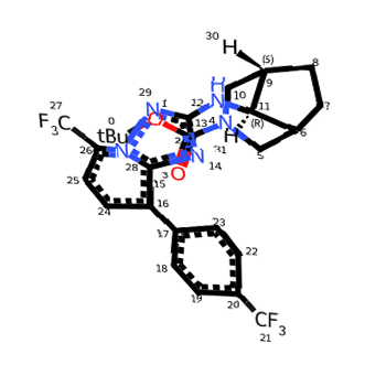 CC(C)(C)OC(=O)N1CC2CC[C@@H](C1)[C@@H]2Nc1nc2c(-c3ccc(C(F)(F)F)cc3)ccc(C(F)(F)F)n2n1